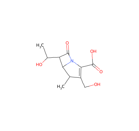 CC(O)C1C(=O)N2C(C(=O)O)=C(CO)C(C)C12